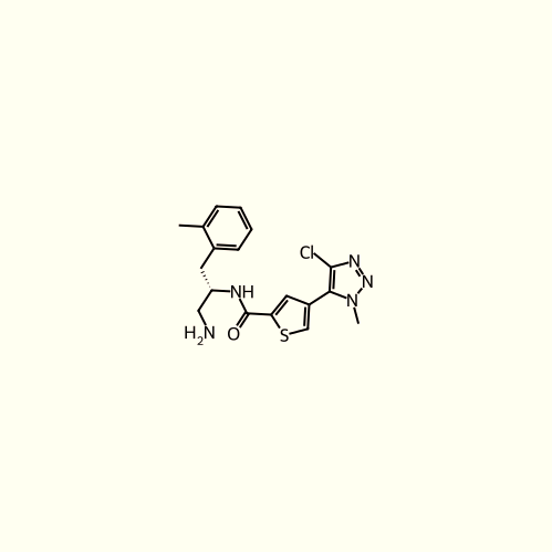 Cc1ccccc1C[C@@H](CN)NC(=O)c1cc(-c2c(Cl)nnn2C)cs1